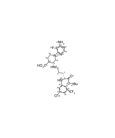 CC(C)(C)OC(=O)[C@@H](CCCN[C@H]1CN(c2ncnc(N)c2F)CCC1C(=O)O)Nc1cc(Cl)cc(C(F)(F)F)c1